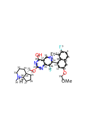 CCc1c(F)ccc2cc(OCOC)cc(-c3ncc4c(O)nc(OC[C@]56CCC[C@H]5N(C)CCC6)nc4c3F)c12